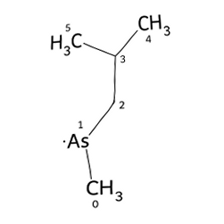 C[As]CC(C)C